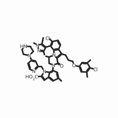 Cc1cc(N2CC(C)n3c(c(CCCOc4cc(C)c(Cl)c(C)c4)c4ccc(Cl)c(-c5c(C)nn(C)c5C)c43)C2=O)c2c(c1)cc(C(=O)O)n2Cc1cc(N2CCNCC2)ccn1